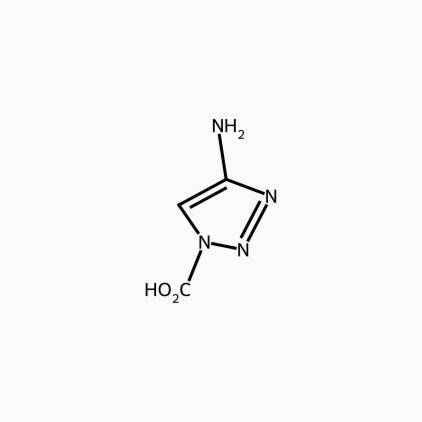 Nc1cn(C(=O)O)nn1